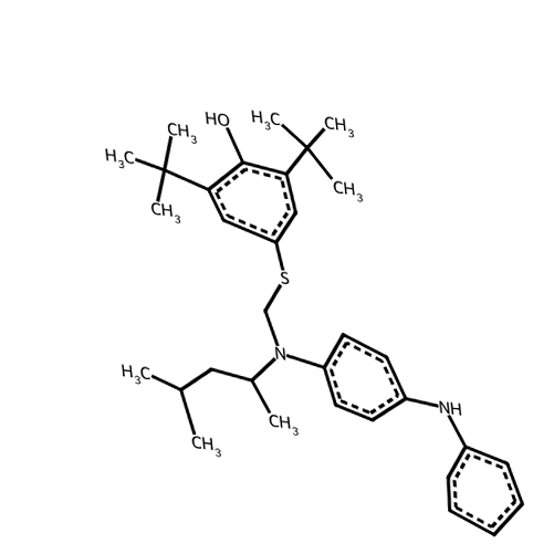 CC(C)CC(C)N(CSc1cc(C(C)(C)C)c(O)c(C(C)(C)C)c1)c1ccc(Nc2ccccc2)cc1